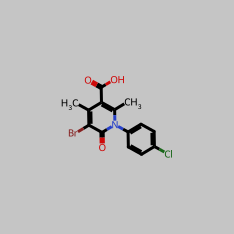 Cc1c(C(=O)O)c(C)n(-c2ccc(Cl)cc2)c(=O)c1Br